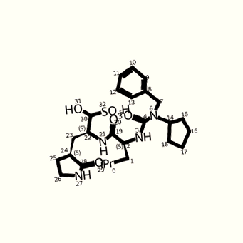 CC(C)C[C@H](NC(=O)N(Cc1ccccc1)C1CCCC1)C(=O)N[C@@H](C[C@@H]1CCNC1=O)C(O)S(=O)(=O)O